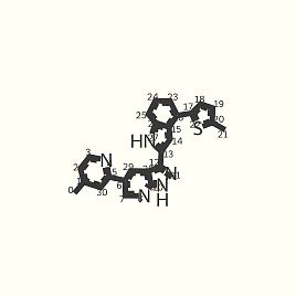 Cc1ccnc(-c2cnc3[nH]nc(-c4cc5c(-c6ccc(C)s6)cccc5[nH]4)c3c2)c1